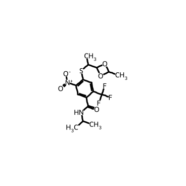 CC(C)NC(=O)c1cc([N+](=O)[O-])c(SC(C)C2OC(C)O2)cc1C(F)(F)F